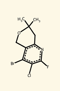 CC1(C)Cc2nc(F)c(Cl)c(Br)c2CO1